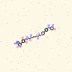 COc1cc(-c2cn(C)c(=O)c3[nH]ncc23)cc(OC)c1CNCC(=O)NCCCCNC(=O)CN1CCC(c2ccc(NC3CCC(=O)NC3)cc2)CC1